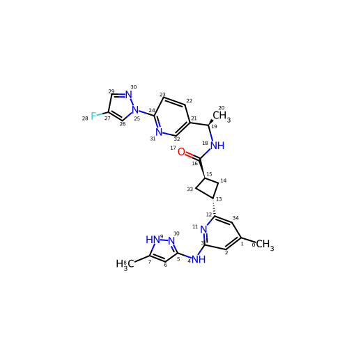 Cc1cc(Nc2cc(C)[nH]n2)nc([C@H]2C[C@H](C(=O)N[C@H](C)c3ccc(-n4cc(F)cn4)nc3)C2)c1